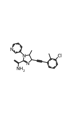 C=C(N)C1=NC(C#Cc2cccc(Cl)c2C)C(C)N1c1cccnc1